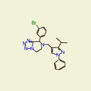 CC(C)c1nn(-c2ccccc2)cc1CN1CCn2nnnc2C1c1cccc(Br)c1